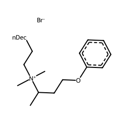 CCCCCCCCCCCC[N+](C)(C)C(C)CCOc1ccccc1.[Br-]